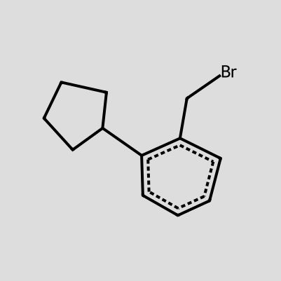 BrCc1ccccc1C1CCCC1